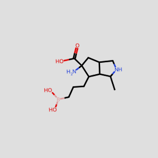 CC1NCC2CC(N)(C(=O)O)C(CCCB(O)O)C21